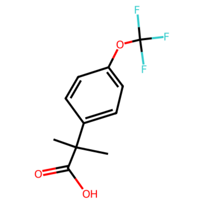 CC(C)(C(=O)O)c1ccc(OC(F)(F)F)cc1